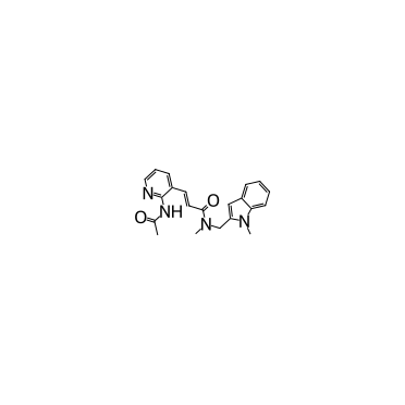 CC(=O)Nc1ncccc1/C=C/C(=O)N(C)Cc1cc2ccccc2n1C